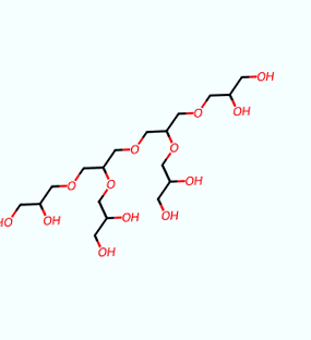 OCC(O)COCC(COCC(COCC(O)CO)OCC(O)CO)OCC(O)CO